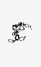 CNC(=O)C1CCCN1S(=O)(=O)c1cc(Cl)cc(Cl)c1